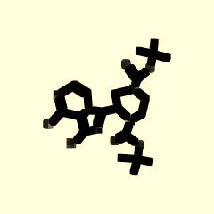 CC(C)(C)OC(=O)N1CCN(C(=O)OC(C)(C)C)C(c2nc(Br)c3c(Cl)nccn23)C1